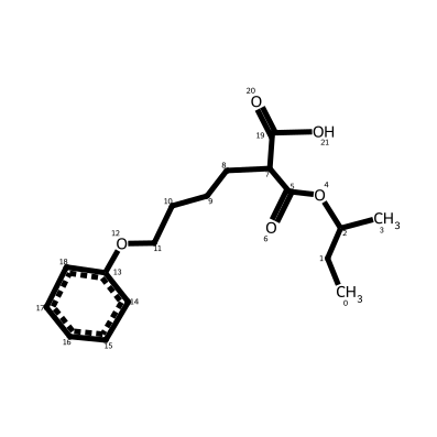 CCC(C)OC(=O)C(CCCCOc1ccccc1)C(=O)O